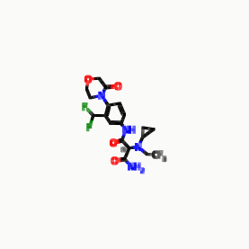 NC(=O)[C@@H](C(=O)Nc1ccc(N2CCOCC2=O)c(C(F)F)c1)N(CC(F)(F)F)C1CC1